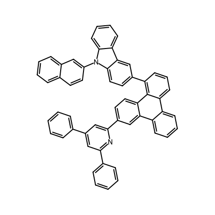 c1ccc(-c2cc(-c3ccccc3)nc(-c3ccc4c(c3)c3ccccc3c3cccc(-c5ccc6c(c5)c5ccccc5n6-c5ccc6ccccc6c5)c34)c2)cc1